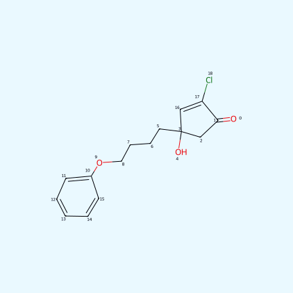 O=C1CC(O)(CCCCOc2ccccc2)C=C1Cl